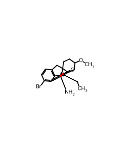 CCN1C(=O)C2(N=C1N)c1cc(Br)ccc1CC21CCC(OC)CC1